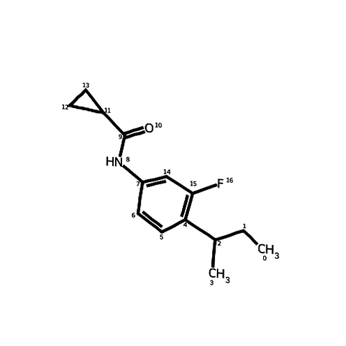 CCC(C)c1ccc(NC(=O)C2CC2)cc1F